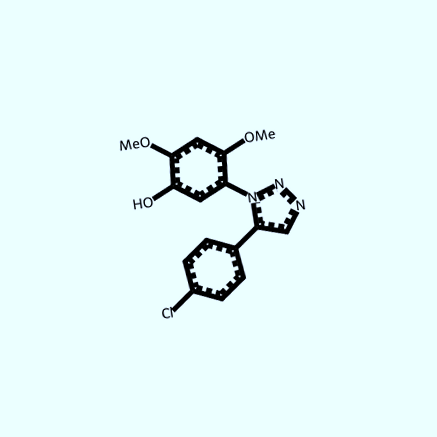 COc1cc(OC)c(-n2nncc2-c2ccc(Cl)cc2)cc1O